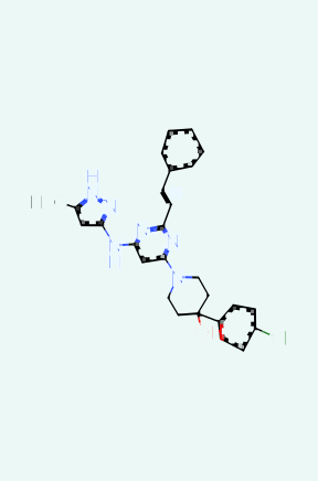 Cc1cc(Nc2cc(N3CCC(O)(c4ccc(Cl)cc4)CC3)nc(/C=C/c3ccccc3)n2)n[nH]1